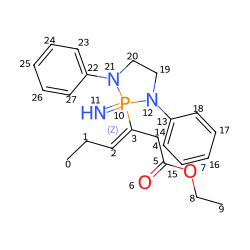 CC/C=C(/CC(=O)OCC)P1(=N)N(c2ccccc2)CCN1c1ccccc1